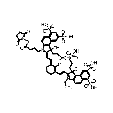 CC[N+]1=C(/C=C/C2=C(Cl)C(=C/C=C3/N(CCCC(=O)ON4C(=O)CCC4=O)c4ccc5c(S(=O)(=O)O)cc(S(=O)(=O)O)cc5c4C3(C)CCOC)/CCC2)C(C)(CCCS(=O)(=O)O)c2c1ccc1c(S(=O)(=O)O)cc(S(=O)(=O)O)cc21